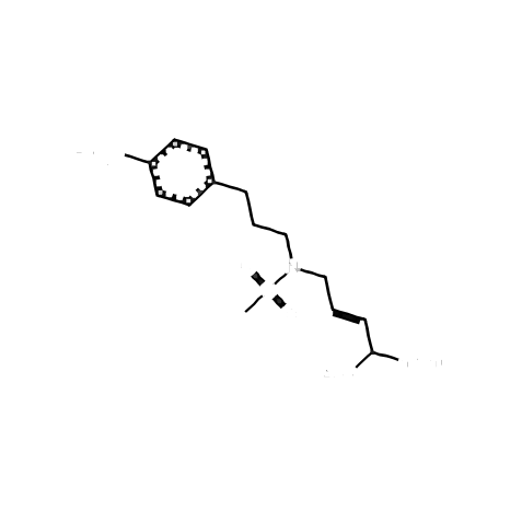 CCCCCC(C=CCN(CCCc1ccc(C(=O)OCC)cc1)S(C)(=O)=O)OC(C)=O